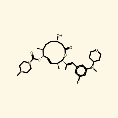 C/C(=C\c1cc(F)cc(N(C)C2CCOCC2)c1)[C@H]1OC(=O)C[C@H](O)CC[C@H](C)[C@@H](OC(=O)N2CCN(C)CC2)/C=C/[C@@H]1C